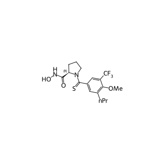 CCCc1cc(C(=S)N2CCC[C@@H]2C(=O)NO)cc(C(F)(F)F)c1OC